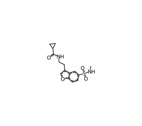 CNS(=O)(=O)c1ccc2occ(CCNC(=O)C3CC3)c2c1